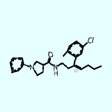 CCC/C=C(/CCNC(=O)C1CCN(c2ccccc2)C1)c1cc(Cl)ccc1C